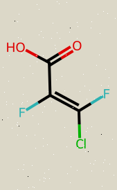 O=C(O)/C(F)=C(\F)Cl